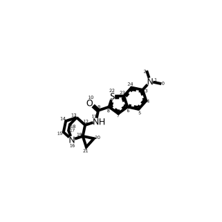 CN(C)c1ccc2cc(C(=O)NC3C4CCN(CC4)C34CC4)sc2c1